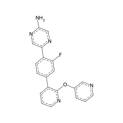 Nc1cnc(-c2ccc(-c3cccnc3Oc3cccnc3)cc2F)cn1